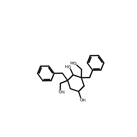 OCC1(Cc2ccccc2)CC(O)CC(CO)(Cc2ccccc2)C1O